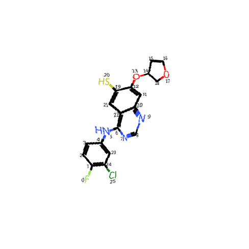 Fc1ccc(Nc2ncnc3cc(OC4CCOC4)c(S)cc23)cc1Cl